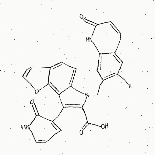 O=C(O)c1c(-c2ccc[nH]c2=O)c2c3occc3ccc2n1Cc1cc2[nH]c(=O)ccc2cc1F